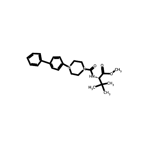 COC(=O)[C@@H](NC(=O)N1CCN(c2ccc(-c3ccccc3)cc2)CC1)C(C)(C)C